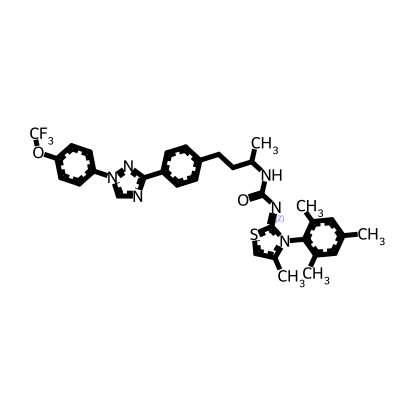 Cc1cc(C)c(-n2c(C)cs/c2=N\C(=O)NC(C)CCc2ccc(-c3ncn(-c4ccc(OC(F)(F)F)cc4)n3)cc2)c(C)c1